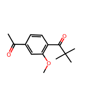 COc1cc(C(C)=O)ccc1C(=O)C(C)(C)C